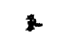 COC(=O)c1c(-c2ccccc2)sc2c1CCC2